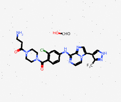 NCCC(=O)N1CCN(C(=O)c2ccc(Nc3nccn4c(-c5c[nH]nc5C(F)(F)F)cnc34)cc2Cl)CC1.O=CO